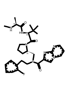 CN[C@@H](C)C(=O)N[C@H](C(=O)N1CCC[C@H]1CN(CCc1ccccc1F)C(=O)c1cn2cccnc2n1)C(C)(C)C